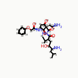 CC(C)C[C@H](N)[C@@H](O)CC(C(=O)NC(=O)[C@@]1(CCN)C(=O)C[C@H](NC(=O)COc2ccccc2)C1=O)C(C)C